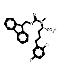 CN(C(=O)OCC1c2ccccc2-c2ccccc21)[C@@H](CCCc1cc(F)ccc1Cl)C(=O)O